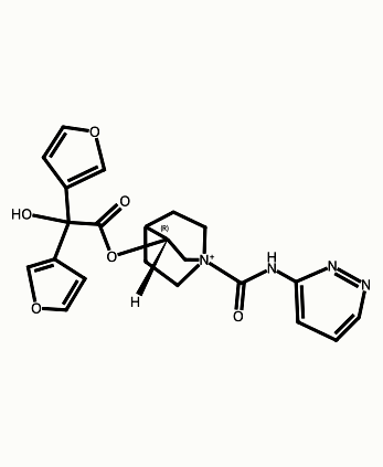 O=C(O[C@H]1C[N+]2(C(=O)Nc3cccnn3)CCC1CC2)C(O)(c1ccoc1)c1ccoc1